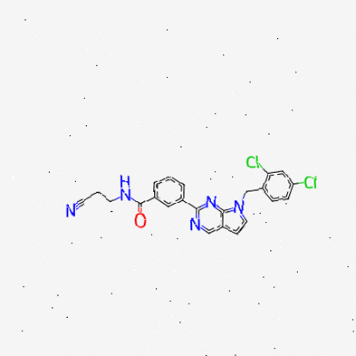 N#CCCNC(=O)c1cccc(-c2ncc3ccn(Cc4ccc(Cl)cc4Cl)c3n2)c1